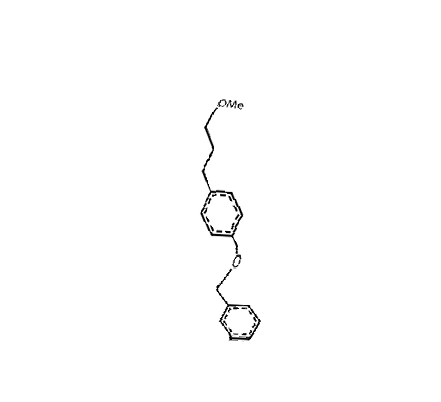 COCCCc1ccc(OCc2ccccc2)cc1